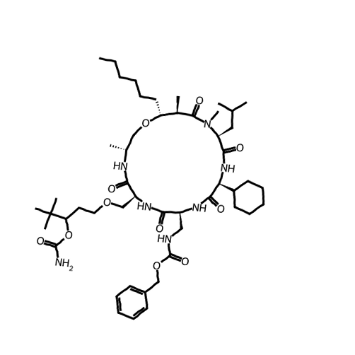 CCCCCC[C@H]1OC[C@@H](C)NC(=O)[C@H](COCCC(OC(N)=O)C(C)(C)C)NC(=O)[C@H](CNC(=O)OCc2ccccc2)NC(=O)[C@H](C2CCCCC2)NC(=O)[C@H](CC(C)C)N(C)C(=O)[C@@H]1C